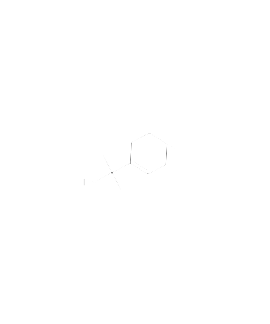 C[C@@H]1CC=C(C(C)(C)S)CC1